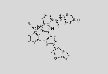 Cc1nccn1CC1(c2ccc(C(=O)Nc3c(Cl)cccc3C(=O)Nc3ccc(Cl)cn3)cc2)CC1.NC(=O)c1ccccc1